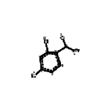 CCCC([O])c1ccc(CC)cc1CC